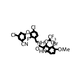 COc1ccc2[nH]c(C(=O)NCc3ccc(Cl)c(Oc4cc(Cl)cc(C#N)c4)c3F)c(OC(=O)C(F)(F)F)c2c1Br